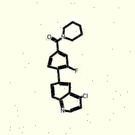 O=C(c1ccc(-c2ccc3nccc(Cl)c3c2)c(F)c1)N1CCCCC1